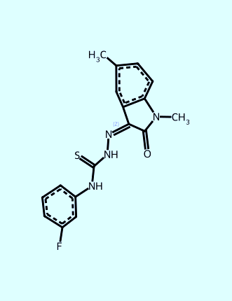 Cc1ccc2c(c1)/C(=N/NC(=S)Nc1cccc(F)c1)C(=O)N2C